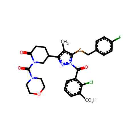 Cc1c(C2CCC(=O)N(C(=O)N3CCOCC3)C2)nn(C(=O)c2cccc(C(=O)O)c2Cl)c1SCc1ccc(F)cc1